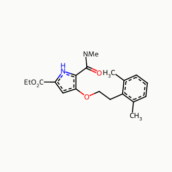 CCOC(=O)c1cc(OCCc2c(C)cccc2C)c(C(=O)NC)[nH]1